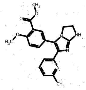 COC(=O)c1cc(-c2c(-c3cccc(C)n3)nc3n2CCN3)ccc1OC